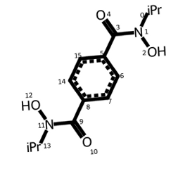 CC(C)N(O)C(=O)c1ccc(C(=O)N(O)C(C)C)cc1